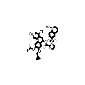 CC(=O)N1CCCc2cc(S(=O)(=O)N3CCSC3C(=O)OC(Cc3c(Cl)c[n+]([O-])cc3Cl)c3ccc(OC(F)F)c(OCC4CC4)c3)ccc21